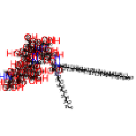 CCCCCCCCCCCCC/C=C/[C@@H](O)[C@H](CO[C@@H]1OC(CO)[C@@H](O[C@@H]2OC(CO)[C@H](O)[C@H](O[C@@H]3OC(CO)[C@@H](O[C@@H]4OC(CO)[C@H](O)[C@H](O[C@@H]5OC(CO)[C@@H](O[C@@H]6OC(CO)[C@H](O)[C@H](O[C@]7(C(=O)O)CC(O)[C@@H](NC(C)=O)C([C@H](O)[C@H](O)CO)O7)C6O)[C@H](O[C@H]6OC(C)[C@@H](O)C(O)[C@@H]6O)C5NC(C)=O)C4O)[C@H](O)C3NC(C)=O)C2O)[C@H](O)C1O)NC(=O)CCCCCCCCCCCCCCCCCCCCCCCCC